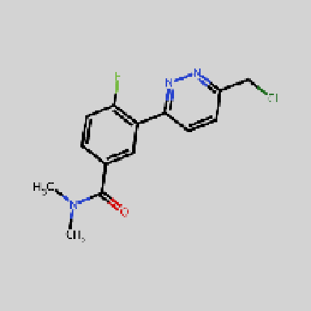 CN(C)C(=O)c1ccc(F)c(-c2ccc(CCl)nn2)c1